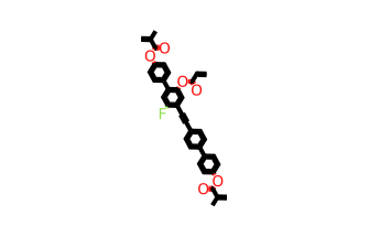 C=CC(=O)Oc1cc(C#Cc2ccc(-c3ccc(OC(=O)C(=C)C)cc3)cc2)c(F)cc1-c1ccc(OC(=O)C(=C)C)cc1